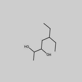 CCC(CC)CC(O)C(C)O